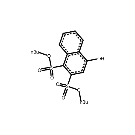 CCCCOS(=O)(=O)c1cc(O)c2ccccc2c1S(=O)(=O)OCCCC